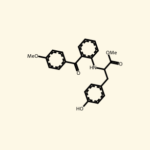 COC(=O)C(Cc1ccc(O)cc1)Nc1ccccc1C(=O)c1ccc(OC)cc1